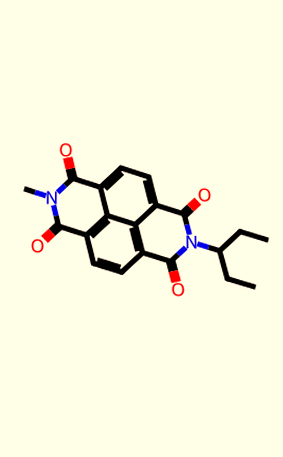 CCC(CC)N1C(=O)c2ccc3c4c(ccc(c24)C1=O)C(=O)N(C)C3=O